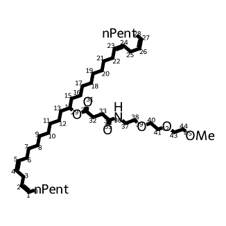 CCCCC/C=C\C/C=C\CCCCCCCCC(CCCCCCCC/C=C\C/C=C\CCCCC)OC(=O)CCC(=O)NCCOCCOCCOC